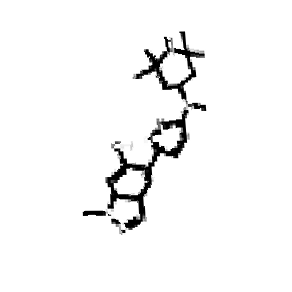 CN1N=CC2C=C(c3ccc(N(C)C4CC(C)(C)NC(C)(C)C4)nn3)C(O)=CC21